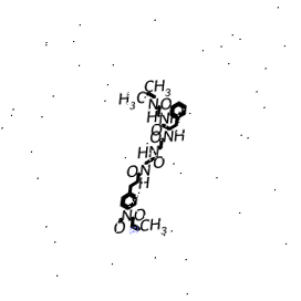 C/C=C\C(=O)N(C=O)c1ccc(CCC(=O)NCC(=O)NCC(=O)NC(Cc2ccccc2)C(=O)NCC(=O)NCC(C)C)cc1